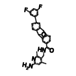 Cc1cc(N)nc(C)c1CNC(=O)c1ccc2c(c1)C1OC2c2cc(-c3cc(F)cc(F)c3)ccc21